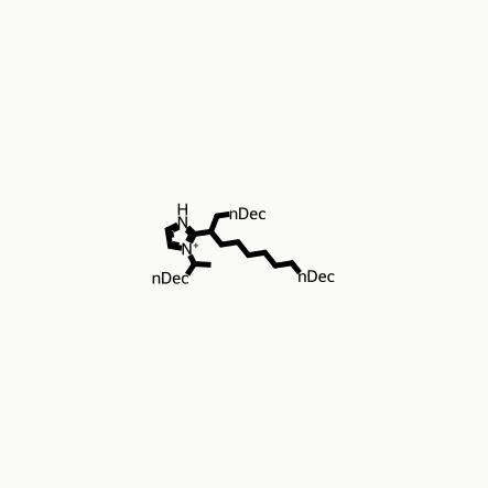 CCCCCCCCCCCCCCCCC(CCCCCCCCCCC)c1[nH]cc[n+]1C(C)CCCCCCCCCC